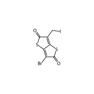 O=C1SC2=C(CI)C(=O)SC2=C1Br